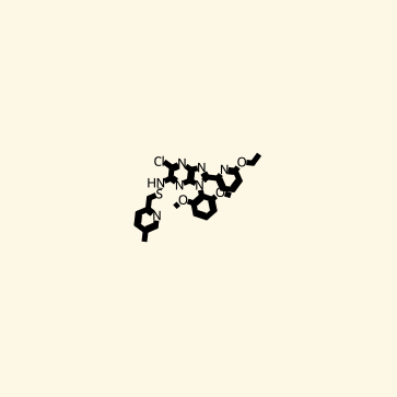 CCOc1cccc(-c2nc3nc(Cl)c(NSCc4ccc(C)cn4)nc3n2-c2c(OC)cccc2OC)n1